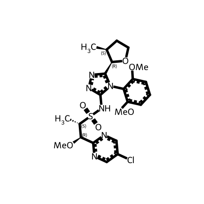 COc1cccc(OC)c1-n1c(NS(=O)(=O)[C@@H](C)[C@H](OC)c2ncc(Cl)cn2)nnc1[C@@H]1OCC[C@@H]1C